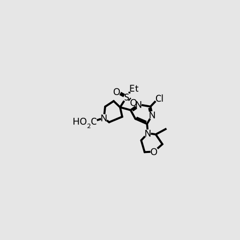 CCS(=O)(=O)C1(c2cc(N3CCOCC3C)nc(Cl)n2)CCN(C(=O)O)CC1